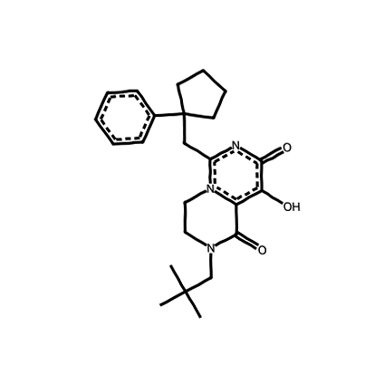 CC(C)(C)CN1CCn2c(CC3(c4ccccc4)CCCC3)nc(=O)c(O)c2C1=O